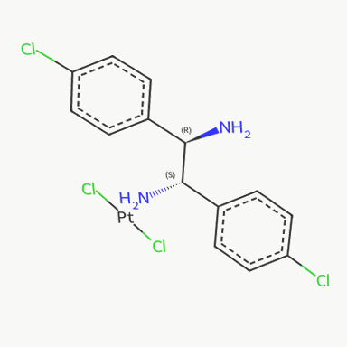 N[C@H](c1ccc(Cl)cc1)[C@@H](N)c1ccc(Cl)cc1.[Cl][Pt][Cl]